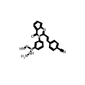 N#Cc1ccc(/C=C/c2nc3ccccc3c(=O)n2-c2cccc(N(N=N)NN)c2)cc1